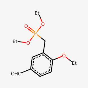 CCOc1ccc(C=O)cc1CP(=O)(OCC)OCC